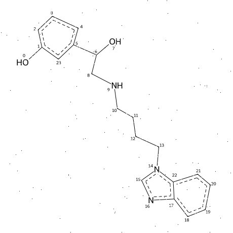 Oc1cccc(C(O)CNCCCCn2cnc3ccccc32)c1